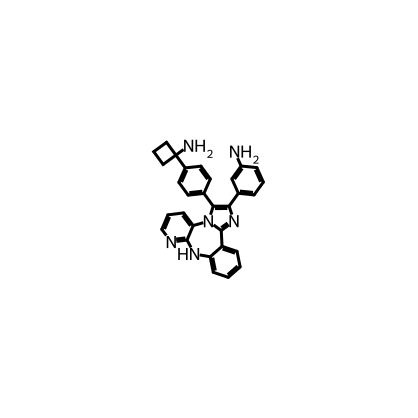 Nc1cccc(-c2nc3n(c2-c2ccc(C4(N)CCC4)cc2)-c2cccnc2Nc2ccccc2-3)c1